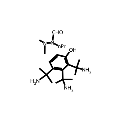 CC(C)(N)c1ccc(O)c(C(C)(C)N)c1C(C)(C)N.CCCN(C=O)N(C)C